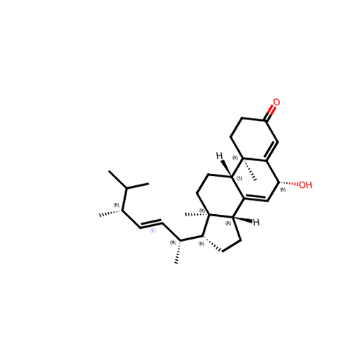 CC(C)[C@@H](C)/C=C/[C@@H](C)[C@H]1CC[C@H]2C3=C[C@@H](O)C4=CC(=O)CC[C@]4(C)[C@H]3CC[C@]12C